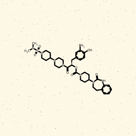 Bc1cc(C[C@@H](OC(=O)N2CCC(N3CCc4ccccc4NC3=O)CC2)C(=O)N2CCN(C3CCN(S(=O)(=O)N(C)C)CC3)CC2)ccc1O